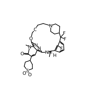 C[C@H]1Nc2nnc(c3c2cc(C2CCS(=O)(=O)CC2)c(=O)n3C)OCCCCN2CCC(CC2)C(F)(F)c2cccc1c2F